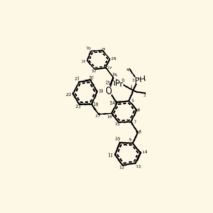 CCCC(C)(PC)c1cc(Cc2ccccc2)cc(Cc2ccccc2)c1OCc1ccccc1